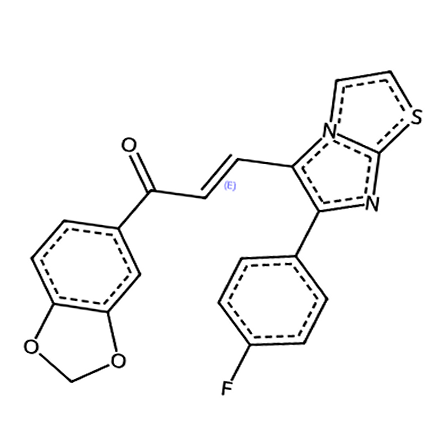 O=C(/C=C/c1c(-c2ccc(F)cc2)nc2sccn12)c1ccc2c(c1)OCO2